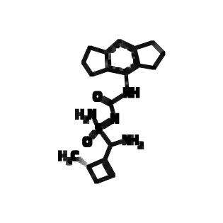 C[C@H]1CC=C1C(N)S(N)(=O)=NC(=O)Nc1c2c(cc3c1CCC3)CCC2